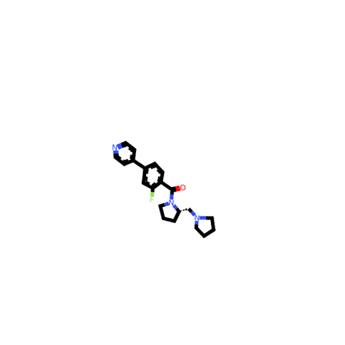 O=C(c1ccc(-c2ccncc2)cc1F)N1CCC[C@H]1CN1CCCC1